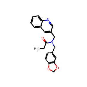 CCC(=O)N(Cc1ccc2c(c1)OCO2)Cc1cnc2ccccc2c1